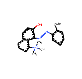 COc1ccccc1N=Nc1c(O)ccc2cccc([N+](C)(C)C)c12